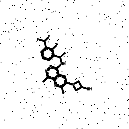 Cc1nc2c(C)nnc(N[C@H](C)c3cccc(C(F)F)c3F)c2cc1N1CC(O)C1